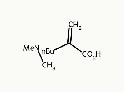 C=C(CCCC)C(=O)O.CNC